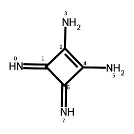 N=c1c(N)c(N)c1=N